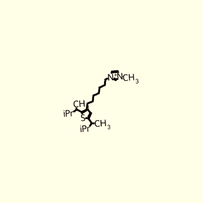 CC(C)C(C)c1cc(CCCCCCC[n+]2ccn(C)c2)c(C(C)C(C)C)s1